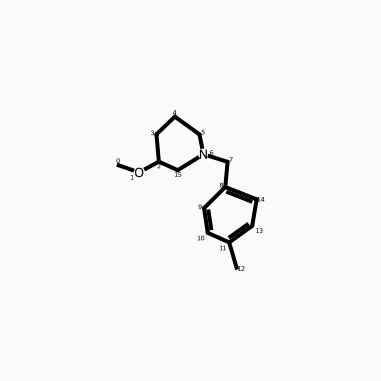 COC1CCCN(Cc2ccc(C)cc2)C1